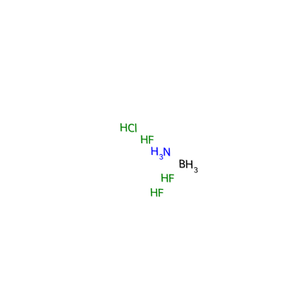 B.Cl.F.F.F.N